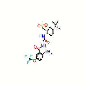 CC(C)N(C)[C@@H]1CC[C@H](NC(=O)CNC(=O)c2cc(OC(F)(F)F)ccc2N)[C@@H](CS(C)(=O)=O)C1